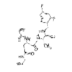 CC(C)C(=O)N[C@H](CC(=O)NCC(C)(C)C)C(=O)N[C@@H](C)C(=O)NCc1ccc(F)cc1F